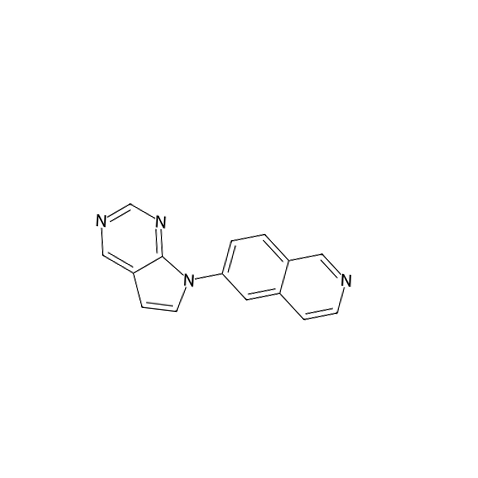 c1cc2cc(-n3ccc4cncnc43)ccc2cn1